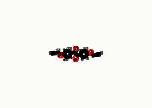 C#CCOc1ccc(C(=O)C(=O)c2ccc(OCC#C)cc2)cc1